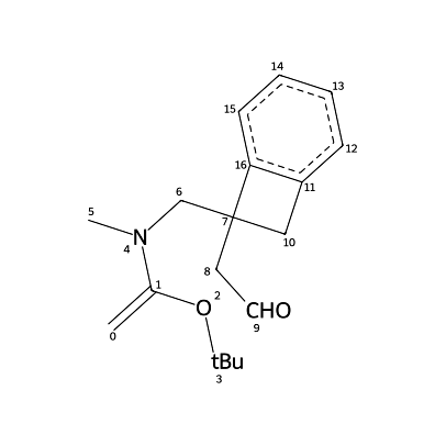 C=C(OC(C)(C)C)N(C)CC1(CC=O)Cc2ccccc21